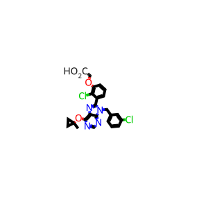 CC1(Oc2ncnc3c2nc(-c2cccc(OCC(=O)O)c2Cl)n3Cc2cccc(Cl)c2)CC1